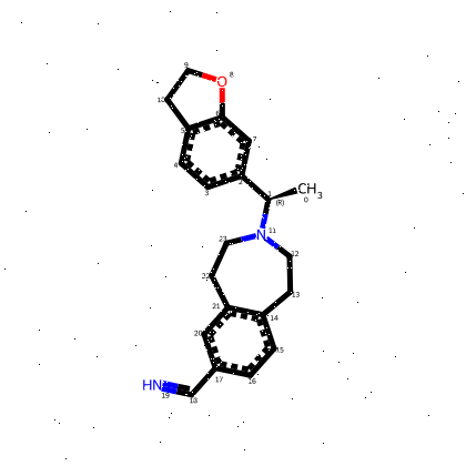 C[C@H](c1ccc2c(c1)OCC2)N1CCc2ccc(C=N)cc2CC1